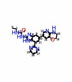 CCNC(=O)Nc1nc2cc(-c3cnc4c(c3)OCCN4)cc(-c3ncccn3)c2[nH]1